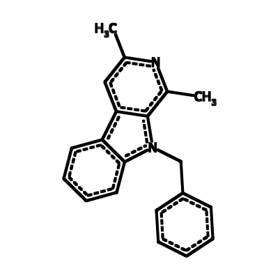 Cc1cc2c3ccccc3n(Cc3ccccc3)c2c(C)n1